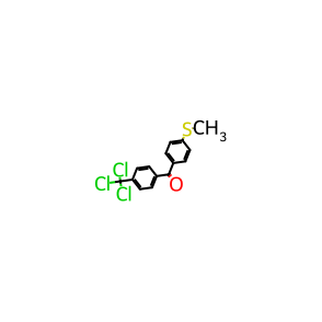 CSc1ccc(C(=O)c2ccc(C(Cl)(Cl)Cl)cc2)cc1